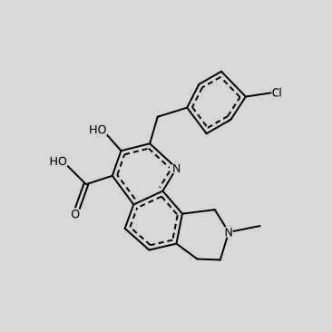 CN1CCc2ccc3c(C(=O)O)c(O)c(Cc4ccc(Cl)cc4)nc3c2C1